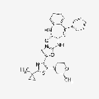 C[C@H]1CN(c2sc(C3(C)CC3)nc2-c2nnc(N[C@H]3N=C(c4ccccc4)c4ccccc4NC3=O)o2)CCO1